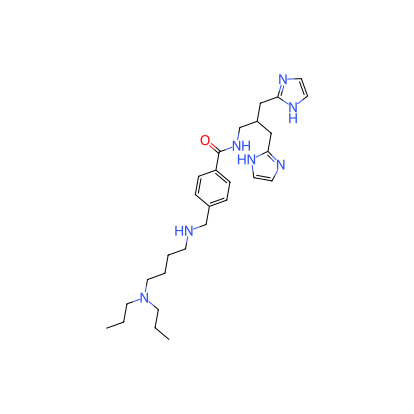 CCCN(CCC)CCCCNCc1ccc(C(=O)NCC(Cc2ncc[nH]2)Cc2ncc[nH]2)cc1